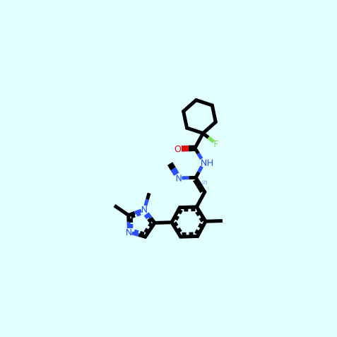 C=N/C(=C\c1cc(-c2cnc(C)n2C)ccc1C)NC(=O)C1(F)CCCCC1